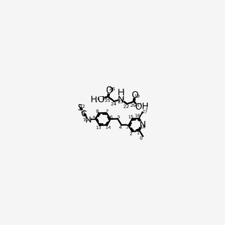 Cc1cc(CCc2ccc(N=C=S)cc2)cc(C)n1.O=C(O)CNCC(=O)O